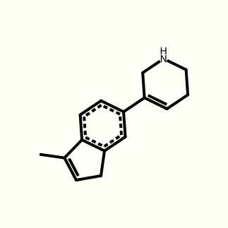 CC1=CCc2cc(C3=CCCNC3)ccc21